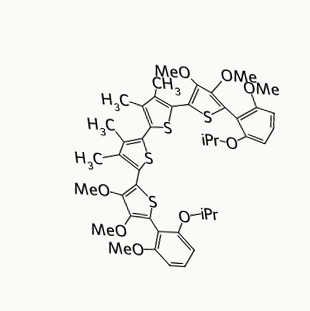 COc1cccc(OC(C)C)c1-c1sc(-c2sc(-c3sc(-c4sc(-c5c(OC)cccc5OC(C)C)c(OC)c4OC)c(C)c3C)c(C)c2C)c(OC)c1OC